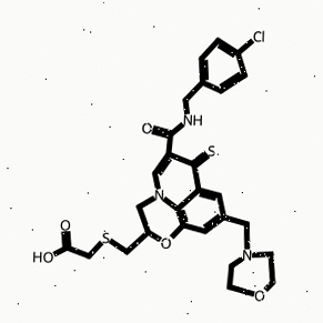 O=C(O)CSCC1Cn2cc(C(=O)NCc3ccc(Cl)cc3)c(=S)c3cc(CN4CCOCC4)cc(c32)O1